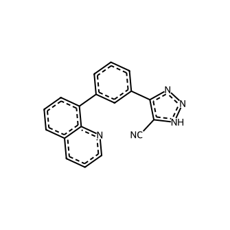 N#Cc1[nH]nnc1-c1cccc(-c2cccc3cccnc23)c1